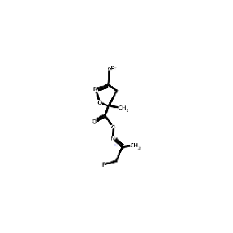 CCCC1=NOC(C)(C(=O)O/N=C(\C)CF)C1